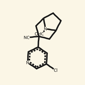 N#CC1(c2cncc(Cl)c2)CC2CCC(C1)N2C=O